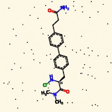 CN(C)C(=O)[C@H](Cc1ccc(-c2ccc(CCC(N)=O)cc2)cc1)NCl